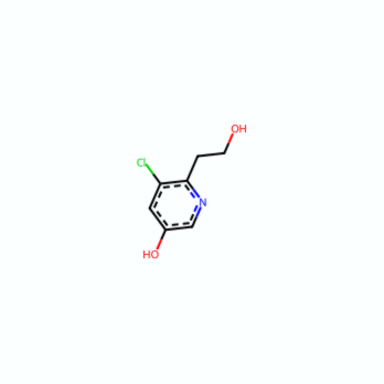 OCCc1ncc(O)cc1Cl